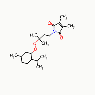 CC1=C(C)C(=O)N(CCC(C)(C)OOC2CC(C)CCC2C(C)C)C1=O